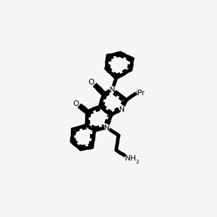 CC(C)c1nc2c(c(=O)c3ccccc3n2CCN)c(=O)n1-c1ccccc1